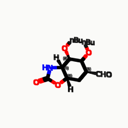 CCCCOC1[C@@H](C=O)C[C@@H]2OC(=O)N[C@@H]2[C@H]1OCCCC